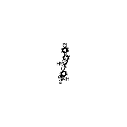 O=c1[nH]c2ccc(OC[C@@H](O)CN3CCN(c4ccc(Cl)cc4)CC3)cc2o1